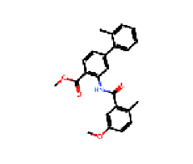 COC(=O)c1ccc(-c2ccccc2C)cc1NC(=O)c1cc(OC)ccc1C